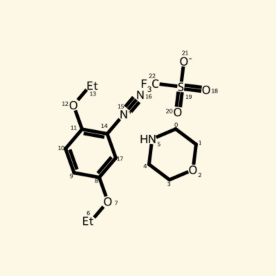 C1COCCN1.CCOc1ccc(OCC)c([N+]#N)c1.O=S(=O)([O-])C(F)(F)F